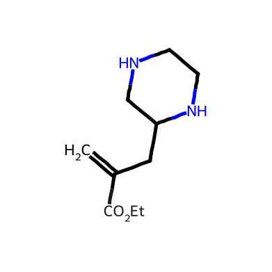 C=C(CC1CNCCN1)C(=O)OCC